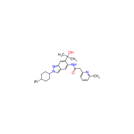 Cc1cccc(CC(=O)Nc2cc3cn(C4CCC(C(C)C)CC4)nc3cc2C(C)(C)O)n1